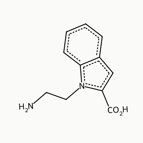 NCCn1c(C(=O)O)cc2ccccc21